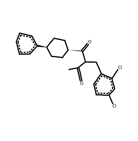 CC(=O)C(Cc1ccc(Cl)cc1Cl)C(=O)[C@H]1CC[C@H](c2ccccc2)CC1